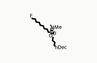 CCCCCCCCCCCCCCOS(=O)(=O)CCCCCCCCCF.CNC